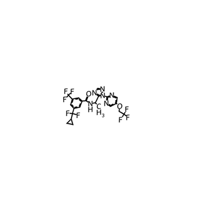 CC(NC(=O)c1cc(C(F)(F)F)cc(C(F)(F)C2CC2)c1)c1ncnn1-c1ncc(OCC(F)(F)F)cn1